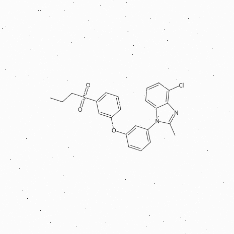 CCCS(=O)(=O)c1cccc(Oc2cccc(-n3c(C)nc4c(Cl)cccc43)c2)c1